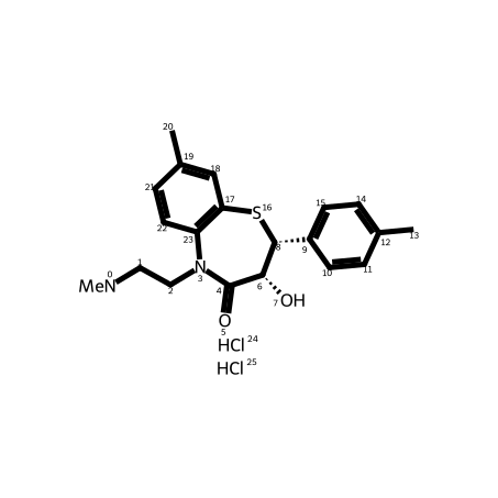 CNCCN1C(=O)[C@@H](O)[C@@H](c2ccc(C)cc2)Sc2cc(C)ccc21.Cl.Cl